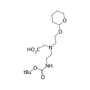 CC(C)(C)OC(=O)NCCN(CCOC1CCCCO1)CC(=O)O